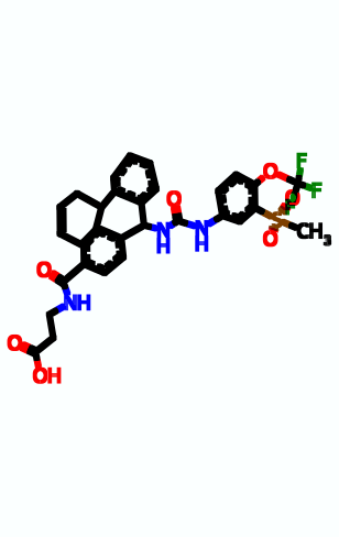 CS(=O)(=O)c1cc(NC(=O)NC(c2ccc(C(=O)NCCC(=O)O)cc2)c2ccccc2C2CC=CCC2)ccc1OC(F)(F)F